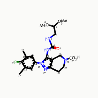 COC(CNC(=O)Nc1c2c(nn1-c1cc(C)c(F)c(C)c1)CCN(C(=O)O)C2)OC